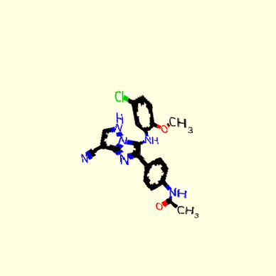 COc1ccc(Cl)cc1Nc1c(-c2ccc(NC(C)=O)cc2)nc2c(C#N)c[nH]n12